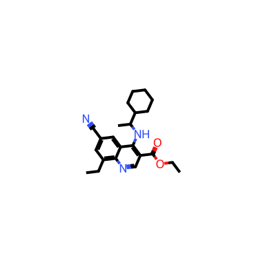 CCOC(=O)c1cnc2c(CC)cc(C#N)cc2c1NC(C)C1CCCCC1